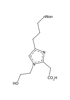 CCCCCCCCCCCCc1cn(CCO)c(CC(=O)O)n1